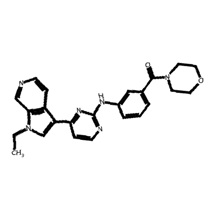 CCn1cc(-c2ccnc(Nc3cccc(C(=O)N4CCOCC4)c3)n2)c2ccncc21